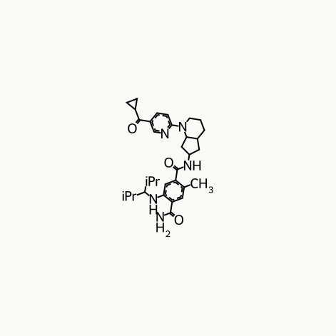 Cc1cc(C(N)=O)c(NC(C(C)C)C(C)C)cc1C(=O)NC1CC2CCCN(c3ccc(C(=O)C4CC4)cn3)C2C1